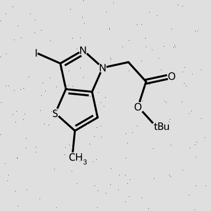 Cc1cc2c(s1)c(I)nn2CC(=O)OC(C)(C)C